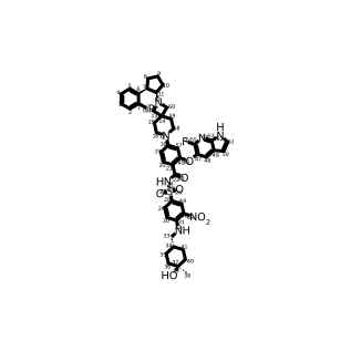 CC(C)c1ccccc1[C@H]1CCC[C@H]1N1CC2(CCN(c3ccc(C(=O)NS(=O)(=O)c4ccc(NC[C@H]5CC[C@](C)(O)CC5)c([N+](=O)[O-])c4)c(Oc4cc5cc[nH]c5nc4F)c3)CC2)C1